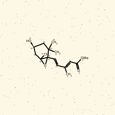 COC(=O)C=C(C)C=CC12OC1(C)C[C@@H](O)CC2(C)C